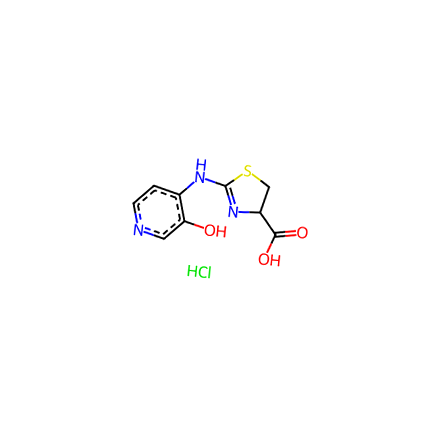 Cl.O=C(O)C1CSC(Nc2ccncc2O)=N1